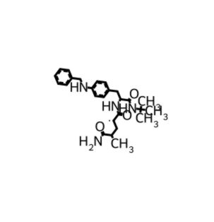 CC(C[CH]C(=O)NC(Cc1ccc(NCc2ccccc2)cc1)C(=O)NC(C)(C)C)C(N)=O